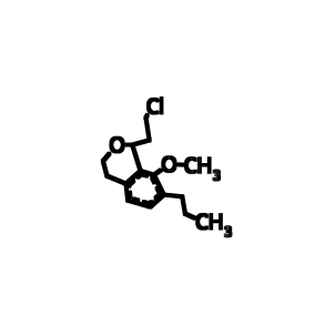 CCCc1ccc2c(c1OC)C(CCCl)OCC2